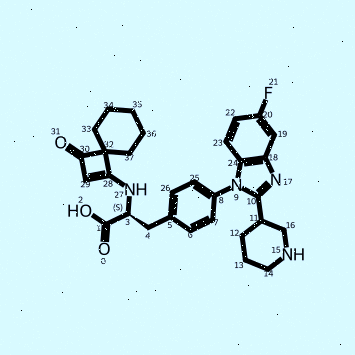 O=C(O)[C@H](Cc1ccc(-n2c(C3CCCNC3)nc3cc(F)ccc32)cc1)NC1=CC(=O)C12CCCCC2